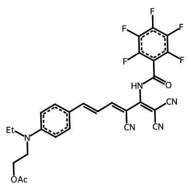 CCN(CCOC(C)=O)c1ccc(/C=C/C=C(\C#N)C(NC(=O)c2c(F)c(F)c(F)c(F)c2F)=C(C#N)C#N)cc1